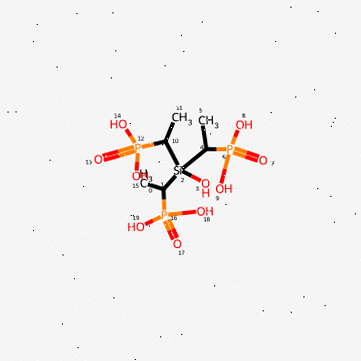 CC([Si](O)(C(C)P(=O)(O)O)C(C)P(=O)(O)O)P(=O)(O)O